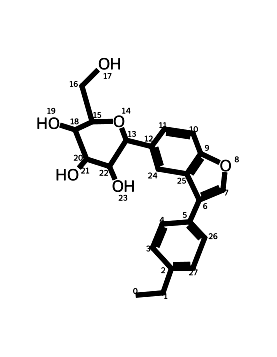 CCc1ccc(-c2coc3ccc(C4OC(CO)C(O)C(O)C4O)cc23)cc1